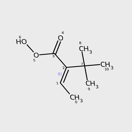 C/C=C(/C(=O)OO)C(C)(C)C